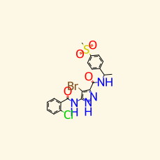 CC(NC(=O)c1n[nH]c(NC(=O)c2ccccc2Cl)c1Br)c1ccc(S(C)(=O)=O)cc1